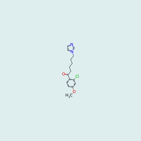 COc1ccc(C(=O)CCCCCn2ccnc2)c(Cl)c1